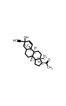 C#CC1(O)C=C[C@@]2(C)C(CC[C@H]3[C@@H]4CC[C@H](C(C)=O)[C@@]4(C)CC[C@@H]32)C1